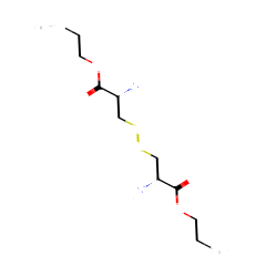 CCCCCCCCCCCCOC(=O)[C@@H](N)CSSC[C@H](N)C(=O)OCCCCCCCCCCCC